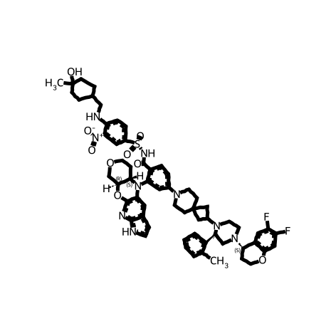 Cc1ccccc1[C@@H]1CN([C@H]2CCOc3cc(F)c(F)cc32)CCN1C1CC2(CCN(c3ccc(C(=O)NS(=O)(=O)c4ccc(NCC5CCC(C)(O)CC5)c([N+](=O)[O-])c4)c(N4c5cc6cc[nH]c6nc5O[C@H]5COCC[C@@H]54)c3)CC2)C1